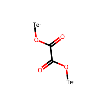 O=C(O[Te])C(=O)O[Te]